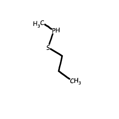 CCCSPC